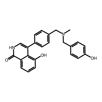 CN(Cc1ccc(O)cc1)Cc1ccc(-c2c[nH]c(=O)c3cccc(O)c23)cc1